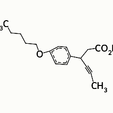 CC#CC(CC(=O)O)c1ccc(OCCCCC(F)(F)F)cc1